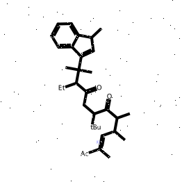 CCC(C(=O)CC(C(=O)C(C)C(C)/C=C(\C)C(C)=O)C(C)(C)C)C(C)(C)C1=CC(C)c2ccccc21